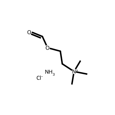 C[N+](C)(C)CCOC=O.N.[Cl-]